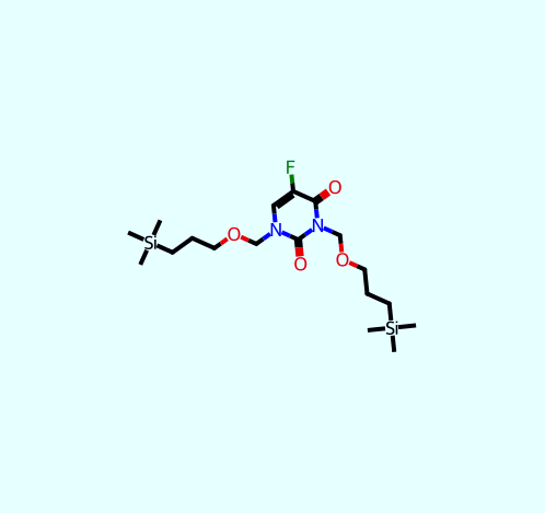 C[Si](C)(C)CCCOCn1cc(F)c(=O)n(COCCC[Si](C)(C)C)c1=O